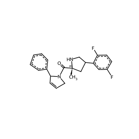 C[C@]1(C(=O)N2CC=CC2c2ccccc2)CC(c2cc(F)ccc2F)CN1